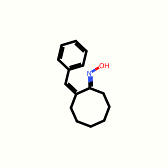 ON=C1CCCCCCC1=Cc1ccccc1